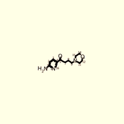 Nc1ccc(C(=O)CCCN2CCOCC2)cn1